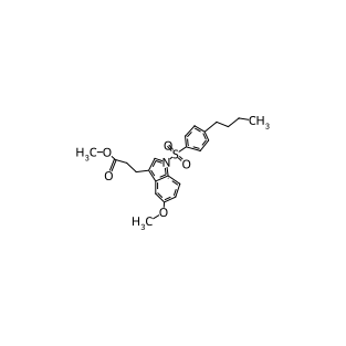 CCCCc1ccc(S(=O)(=O)n2cc(CCC(=O)OC)c3cc(OC)ccc32)cc1